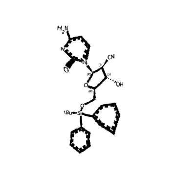 CC(C)(C)[Si](OC[C@H]1O[C@@H](n2ccc(N)nc2=O)[C@@H](C#N)[C@@H]1O)(c1ccccc1)c1ccccc1